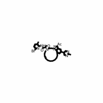 CC(=O)c1nn2c3c(cc(-c4cnc(C)nc4)cc13)CCCCCC/C=C\CCN(C(C)C(=O)Nc1nc(Br)ccc1C)C(=O)C2